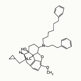 COc1ccc2c3c1OC1C(N(CCCCCCc4ccccc4)CCCc4ccccc4)CC[C@@]4(O)[C@@H](C2)N(CC2CC2)CC[C@]314